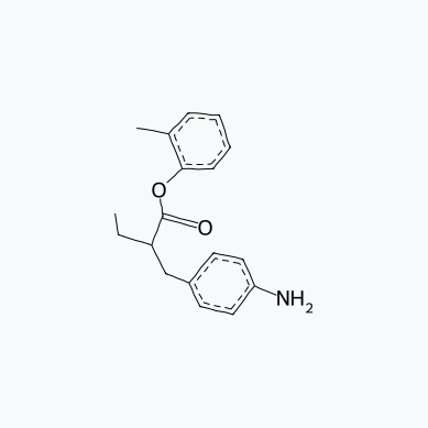 CCC(Cc1ccc(N)cc1)C(=O)Oc1ccccc1C